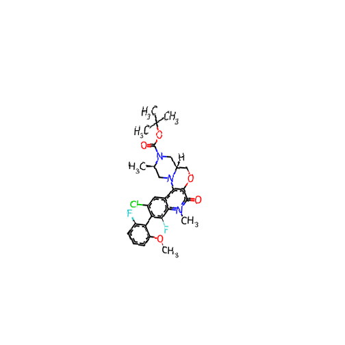 COc1cccc(F)c1-c1c(Cl)cc2c3c(c(=O)n(C)c2c1F)OC[C@H]1CN(C(=O)OC(C)(C)C)[C@H](C)CN31